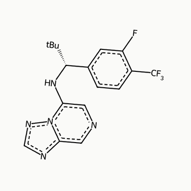 CC(C)(C)[C@@H](Nc1cncc2ncnn12)c1ccc(C(F)(F)F)c(F)c1